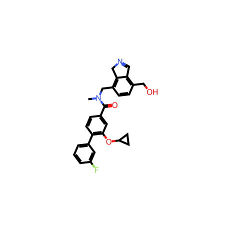 CN(Cc1ccc(CO)c2c1CN=C2)C(=O)c1ccc(-c2cccc(F)c2)c(OC2CC2)c1